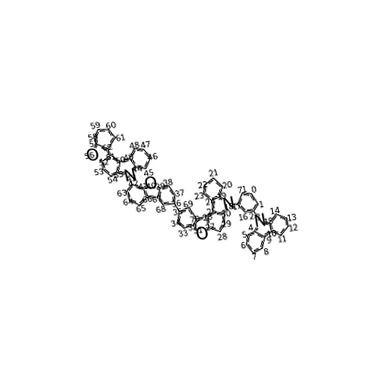 c1cc(-n2c3ccccc3c3ccccc32)cc(-n2c3ccccc3c3c4c(ccc32)oc2ccc(-c3ccc5oc6c(-n7c8ccccc8c8c9c(ccc87)oc7ccccc79)cccc6c5c3)cc24)c1